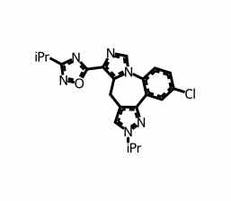 CC(C)c1noc(-c2ncn3c2Cc2cn(C(C)C)nc2-c2cc(Cl)ccc2-3)n1